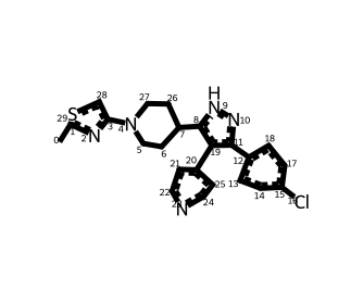 Cc1nc(N2CCC(c3[nH]nc(-c4ccc(Cl)cc4)c3-c3ccncc3)CC2)cs1